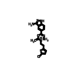 C=C(NCCc1ccc(Cl)s1)O/C(=N\N)c1ccc2[nH]nc(N)c2c1